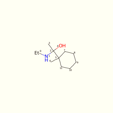 CCNC(C)(O)C1(C)CCCCC1